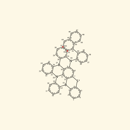 c1ccc2c(c1)Sc1cc3c4c5c1B2c1ccccc1N5c1ccccc1B4c1ccccc1N3c1ccccc1-c1cccc2ccccc12